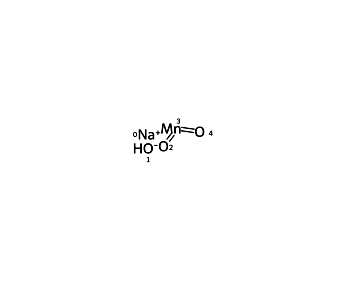 [Na+].[OH-].[O]=[Mn]=[O]